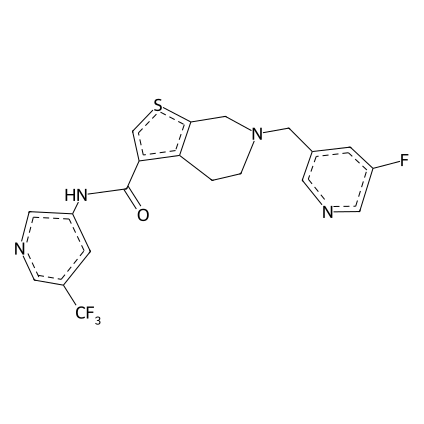 O=C(Nc1cncc(C(F)(F)F)c1)c1csc2c1CCN(Cc1cncc(F)c1)C2